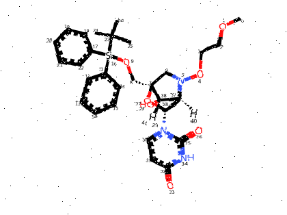 COCCON1C[C@]2(CO[Si](c3ccccc3)(c3ccccc3)C(C)(C)C)O[C@@H](n3ccc(=O)[nH]c3=O)[C@H]1[C@@H]2O